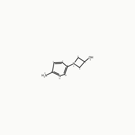 Nc1ccc(N2CC(O)C2)cn1